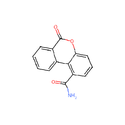 NC(=O)c1[c]ccc2oc(=O)c3ccccc3c12